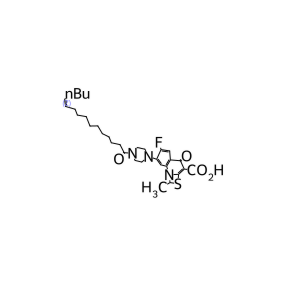 CCCC/C=C\CCCCCCCCCC(=O)N1CCN(c2cc3c(cc2F)c(=O)c(C(=O)O)c2n3C(C)S2)CC1